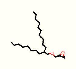 CCCCCCCCCCC(CCCCCCCC)COCC1CO1